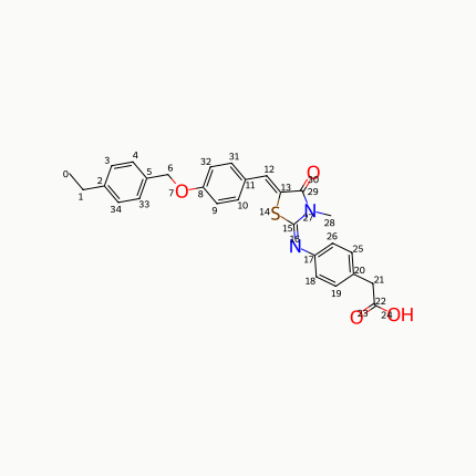 CCc1ccc(COc2ccc(/C=C3\S/C(=N/c4ccc(CC(=O)O)cc4)N(C)C3=O)cc2)cc1